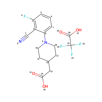 N#Cc1c(F)cccc1N1CCC(CC(=O)O)CC1.O=C(O)C(F)(F)F